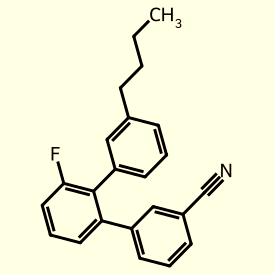 CCCCc1cccc(-c2c(F)cccc2-c2cccc(C#N)c2)c1